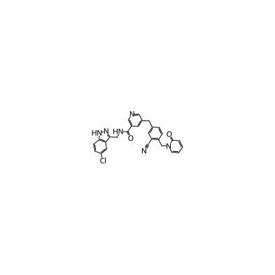 N#Cc1cc(Cc2cncc(C(=O)NCc3n[nH]c4ccc(Cl)cc34)c2)ccc1Cn1ccccc1=O